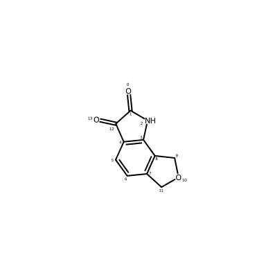 O=C1Nc2c(ccc3c2COC3)C1=O